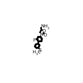 CSc1cccc(-c2ccc(N3CC(CN)OC3=O)cc2F)c1